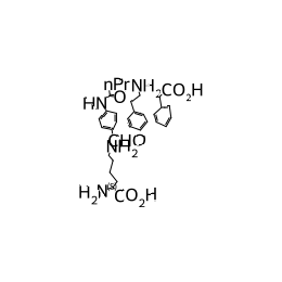 CCCC(=O)Nc1ccc(C=O)cc1.NCCCC[C@H](N)C(=O)O.NCCc1ccccc1.O=C(O)Cc1ccccc1